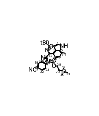 COc1cc(C)c2[nH]ccc2c1/C(=N\[S+]([O-])C(C)(C)C)c1nc2cc(C#N)ccc2n1COCC[Si](C)(C)C